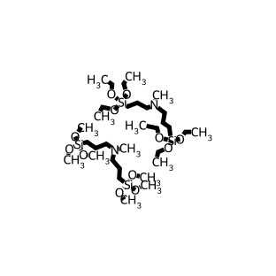 CCO[Si](CCCN(C)CCC[Si](OCC)(OCC)OCC)(OCC)OCC.CO[Si](CCCN(C)CCC[Si](OC)(OC)OC)(OC)OC